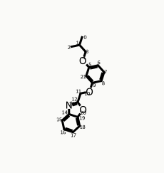 CC(C)COc1cccc(OCc2nc3ccccc3o2)c1